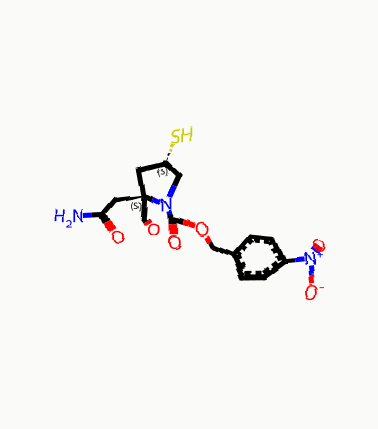 NC(=O)C[C@@]1(C=O)C[C@H](S)CN1C(=O)OCc1ccc([N+](=O)[O-])cc1